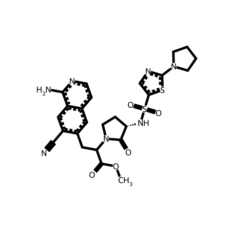 COC(=O)C(Cc1cc2ccnc(N)c2cc1C#N)N1CC[C@H](NS(=O)(=O)c2cnc(N3CCCC3)s2)C1=O